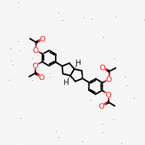 CC(=O)Oc1ccc(C2C[C@H]3CC(c4ccc(OC(C)=O)c(OC(C)=O)c4)C[C@H]3C2)cc1OC(C)=O